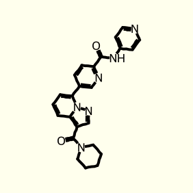 O=C(Nc1ccncc1)c1ccc(-c2cccc3c(C(=O)N4CCCCC4)cnn23)cn1